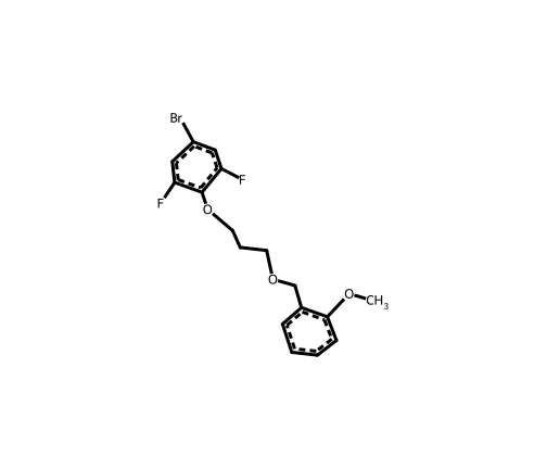 COc1ccccc1COCCCOc1c(F)cc(Br)cc1F